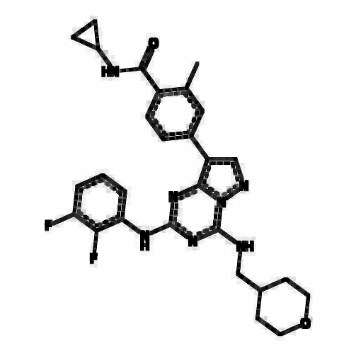 Cc1cc(-c2cnn3c(NCC4CCOCC4)nc(Nc4cccc(F)c4F)nc23)ccc1C(=O)NC1CC1